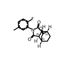 Cc1ccc(F)c(N2C(=O)[C@@H]3[C@H]4CC[C@H](C(=O)C4)[C@@H]3C2=O)c1